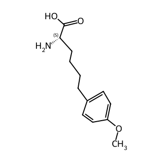 COc1ccc(CCCC[C@H](N)C(=O)O)cc1